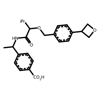 CC(NC(=O)C(OCc1ccc(C2COC2)cc1)C(C)C)c1ccc(C(=O)O)cc1